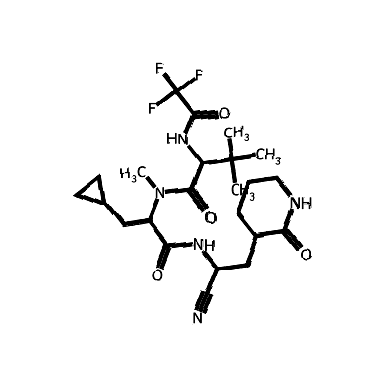 CN(C(=O)C(NC(=O)C(F)(F)F)C(C)(C)C)C(CC1CC1)C(=O)NC(C#N)CC1CCCNC1=O